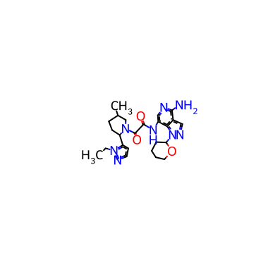 CCn1nccc1C1CCC(C)CN1C(=O)C(=O)Nc1cnc(N)c2cnn(C3CCCCO3)c12